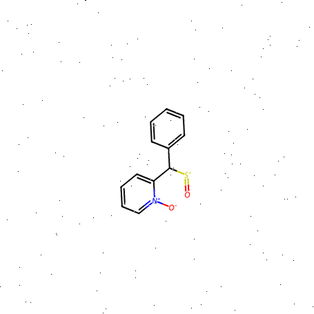 O=[S+]C(c1ccccc1)c1cccc[n+]1[O-]